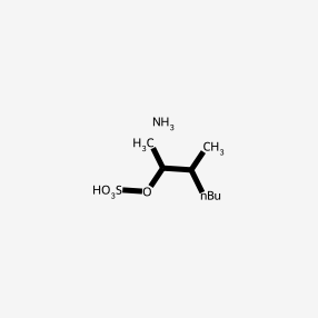 CCCCC(C)C(C)OS(=O)(=O)O.N